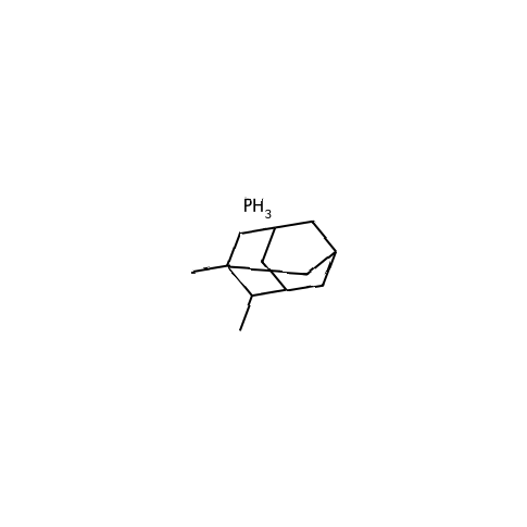 CC1C2CC3CC(C2)CC1(C)C3.P